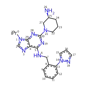 CC(C)n1cnc2c(NCc3ccccc3-n3cccn3)nc(N3CCC[C@H](N)C3)nc21